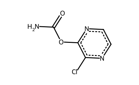 NC(=O)Oc1nccnc1Cl